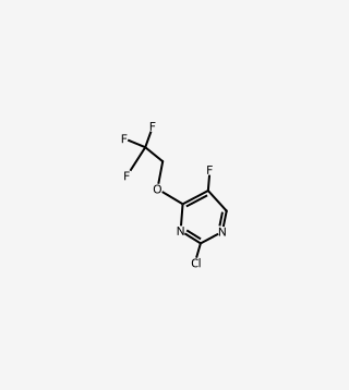 Fc1cnc(Cl)nc1OCC(F)(F)F